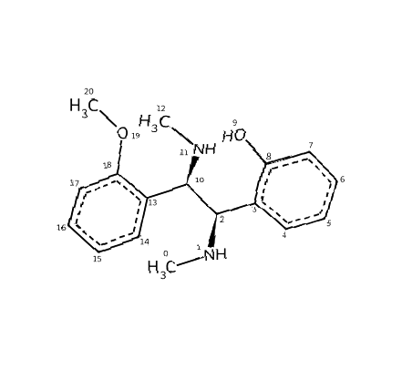 CN[C@H](c1ccccc1O)[C@H](NC)c1ccccc1OC